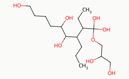 CCCC(C(O)C(O)CCCCO)C(CC)C(O)(O)OCC(O)CO